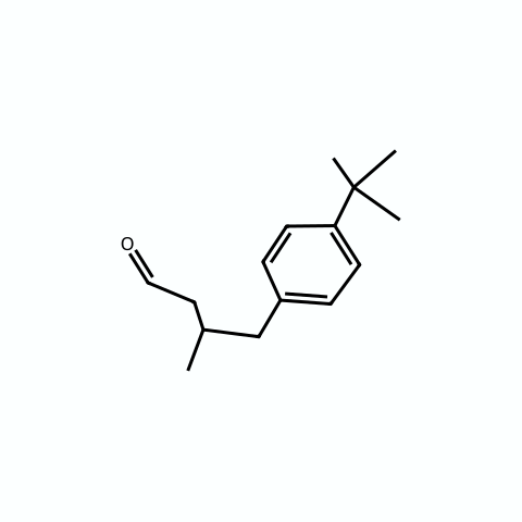 CC(CC=O)Cc1ccc(C(C)(C)C)cc1